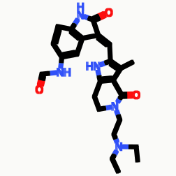 CCN(CC)CCN1CCc2[nH]c(/C=C3/C(=O)Nc4ccc(NC=O)cc43)c(C)c2C1=O